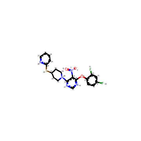 O=[N+]([O-])c1c(Oc2ccc(F)cc2F)ncnc1N1CCC(Sc2ccccn2)CC1